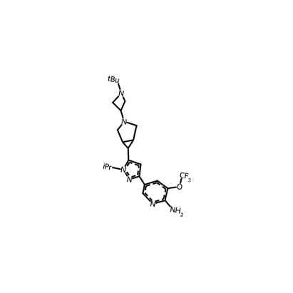 CC(C)n1nc(-c2cnc(N)c(OC(F)(F)F)c2)cc1C1C2CN(C3CN(C(C)(C)C)C3)CC21